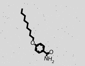 CCCCCCCCCOc1ccc(C(N)=O)cc1